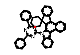 c1ccc(-c2nc(-c3ccccc3)nc(-n3c4ccccc4c4c5ccccc5c5c(c43)C3(CCCCC3)c3ccccc3-5)n2)cc1